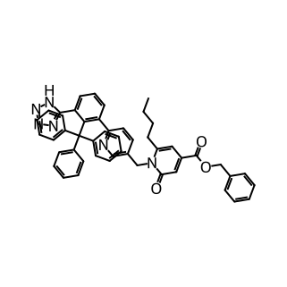 CCCCc1cc(C(=O)OCc2ccccc2)cc(=O)n1Cc1ccc(-c2cccc(-c3nnn[nH]3)c2C(c2ccccc2)(c2ccccc2)c2ccccc2)nc1